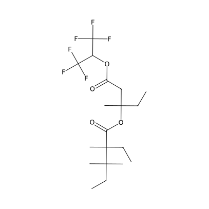 CCC(C)(CC(=O)OC(C(F)(F)F)C(F)(F)F)OC(=O)C(C)(CC)C(C)(C)CC